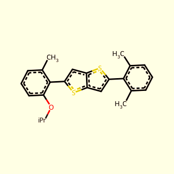 Cc1cccc(C)c1-c1cc2sc(-c3c(C)cccc3OC(C)C)cc2s1